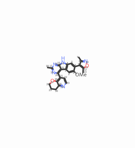 COc1cc2c(cc1-c1c(C)noc1C)[nH]c1nc(C)nc(-c3ccnc4c3OCCC4)c12